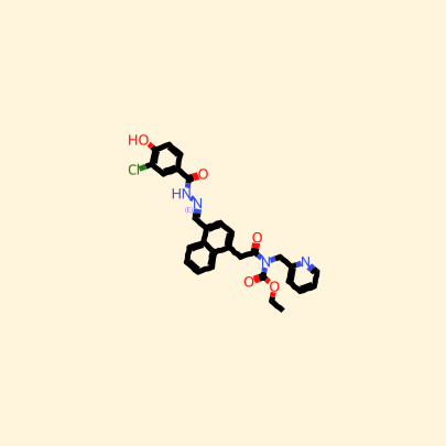 CCOC(=O)N(Cc1ccccn1)C(=O)Cc1ccc(/C=N/NC(=O)c2ccc(O)c(Cl)c2)c2ccccc12